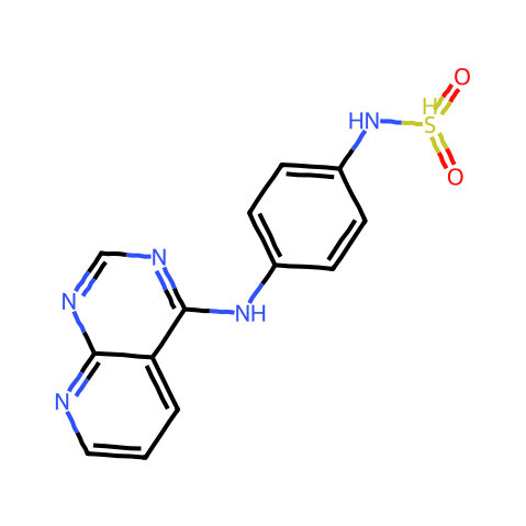 O=[SH](=O)Nc1ccc(Nc2ncnc3ncccc23)cc1